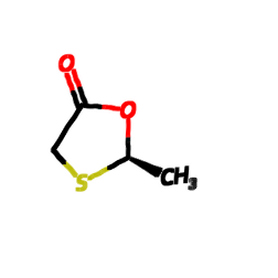 C[C@@H]1OC(=O)CS1